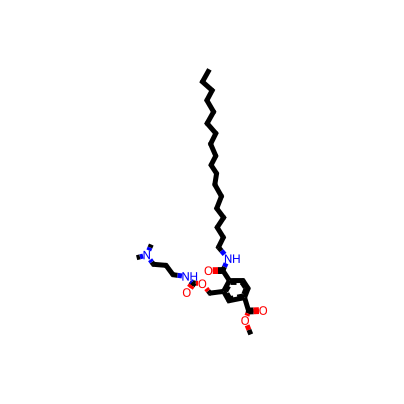 CCCCCCCCCCCCCCCCCCNC(=O)c1ccc(C(=O)OC)cc1COC(=O)NCCCN(C)C